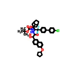 CC(C)(C)OC(=O)NC1CC2CCC(C1)C2C(=O)C(NC(=O)C(O)c1ccc2cc(OC3CCCC3)ccc2c1)C(F)(F)c1ccc(-c2ccc(Cl)cc2)cc1